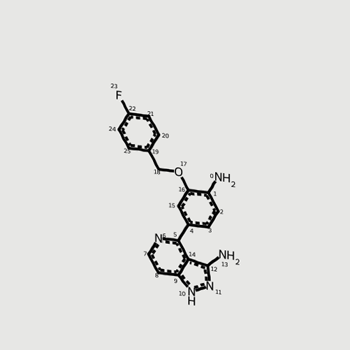 Nc1ccc(-c2nccc3[nH]nc(N)c23)cc1OCc1ccc(F)cc1